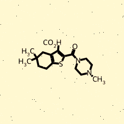 CN1CCN(C(=O)c2sc3c(c2C(=O)O)CC(C)(C)CC3)CC1